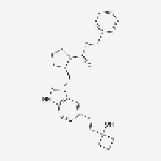 O=C(OCc1ccccc1)N1CCC[C@@H]1Cc1c[nH]c2ccc(C=CC3(O)CCC3)cc12